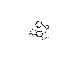 COc1cc(OC(F)(F)F)c(Br)cc1CC1CCC1c1ccccc1